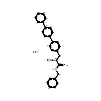 Cl.N[C@@H](Cc1ccc(-c2ccc(-c3ccccc3)cc2)cc1)C(=O)OCc1ccccc1